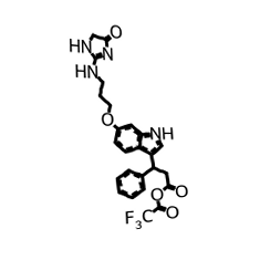 O=C1CNC(NCCCOc2ccc3c(C(CC(=O)OC(=O)C(F)(F)F)c4ccccc4)c[nH]c3c2)=N1